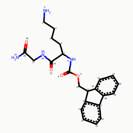 NCCCCC(NC(=O)OCC1c2ccccc2-c2ccccc21)C(=O)NCC(N)=O